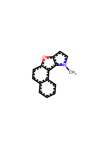 Cn1ccc2oc3ccc4ccccc4c3c21